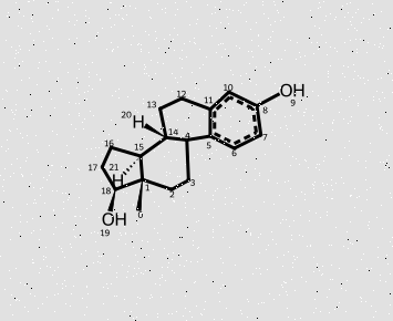 C[C@]12CCC3c4ccc(O)cc4CC[C@H]3[C@@H]1CC[C@@H]2O